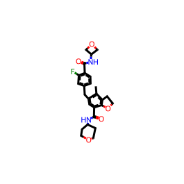 Cc1c(Cc2ccc(C(=O)NC3COC3)c(F)c2)cc(C(=O)NC2CCOCC2)c2c1CCO2